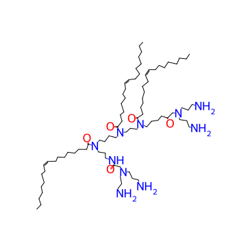 CCCCCCCC/C=C\CCCCCCCC(=O)N(CCCCN(CCCN(CCCCC(=O)CN(CCCN)CCCN)C(=O)CCCCCCC/C=C\CCCCCCCC)C(=O)CCCCCCC/C=C\CCCCCCCC)CCCNC(=O)CN(CCCN)CCCN